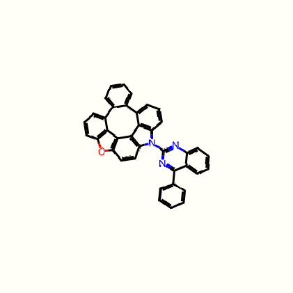 c1ccc(-c2nc(-n3c4cccc5c6ccccc6c6cccc7oc8ccc3c(c8c76)c54)nc3ccccc23)cc1